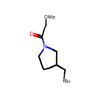 COCC(=O)N1CCC(CC(C)(C)C)C1